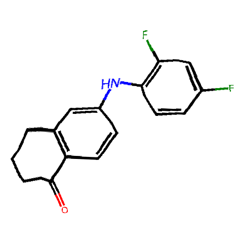 O=C1CCCc2cc(Nc3ccc(F)cc3F)ccc21